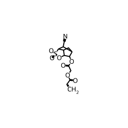 C=CC(=O)OCC(=O)OC1C2CC3C1OS(=O)(=O)C3C2C#N